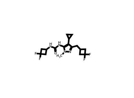 Cn1nc(CC2CC(F)(F)C2)c(C2CC2)c1NC(=O)NC1CC(F)(F)C1